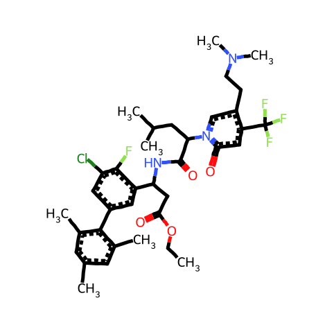 CCOC(=O)CC(NC(=O)C(CC(C)C)n1cc(CCN(C)C)c(C(F)(F)F)cc1=O)c1cc(-c2c(C)cc(C)cc2C)cc(Cl)c1F